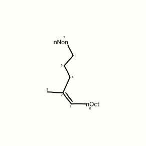 CCCCCCCCC=C(C)CCCCCCCCCCCC